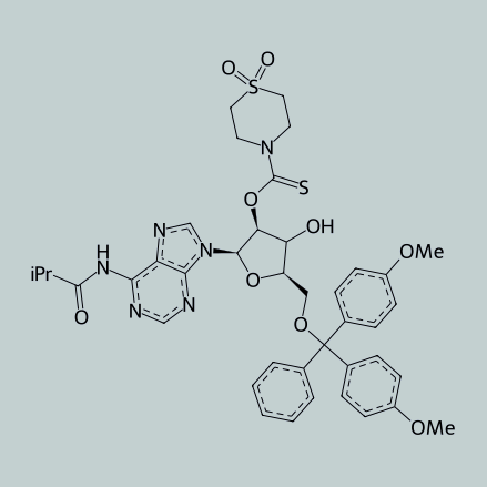 COc1ccc(C(OC[C@H]2O[C@@H](n3cnc4c(NC(=O)C(C)C)ncnc43)[C@@H](OC(=S)N3CCS(=O)(=O)CC3)C2O)(c2ccccc2)c2ccc(OC)cc2)cc1